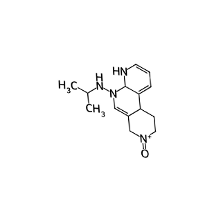 CC(C)NN1C=C2C[N+](=O)CCC2C2=CC=CNC21